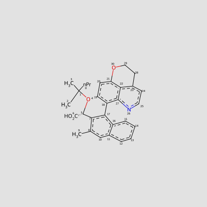 CCCC(C)(C)O[C@@H](C(=O)O)c1c(C)cc2ccccc2c1-c1ccc2c3c(ccnc13)CCO2